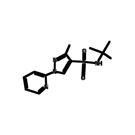 Cc1nn(-c2ccccn2)cc1S(=O)(=O)NC(C)(C)C